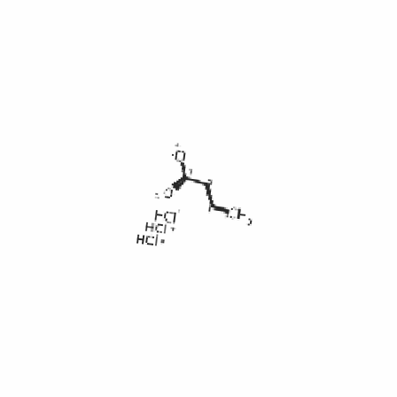 CCCC([O])=O.Cl.Cl.Cl